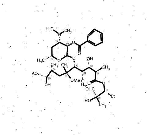 CC[C@@H](OC(=O)[C@H](C)[C@@H](O)[C@H](C)[C@@H](OC1O[C@H](C)C[C@H](N(C)C)[C@H]1OC(=O)c1ccccc1)[C@@](C)(C[C@@H](C)[C@H](O)C(C)=O)OC)[C@@](C)(O)C=O